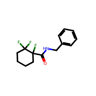 O=C(NCc1ccccc1)C1(F)CCCCC1(F)F